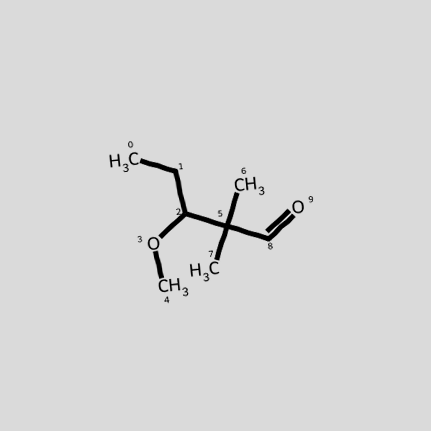 CCC(OC)C(C)(C)C=O